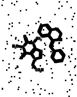 C(=C1NCCc2ccccc21)c1ccccc1.Cn1c(=O)c2c(ncn2CC(=O)O)n(C)c1=O